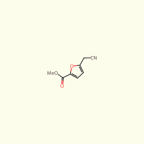 COC(=O)c1ccc(CC#N)o1